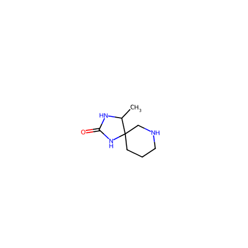 CC1NC(=O)NC12CCCNC2